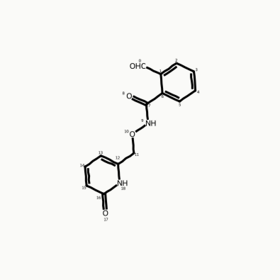 O=Cc1ccccc1C(=O)NOCc1cccc(=O)[nH]1